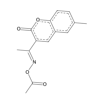 CC(=O)ON=C(C)c1cc2cc(C)ccc2oc1=O